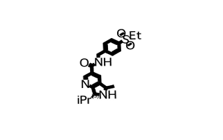 CCS(=O)(=O)c1ccc(CNC(=O)c2cnc3c(c2)C(C)N[C@H]3C(C)C)cc1